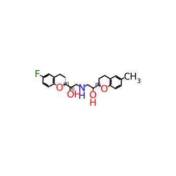 Cc1ccc2c(c1)CC[C@H](C(O)CNC[C@@H](O)[C@H]1CCc3cc(F)ccc3O1)O2